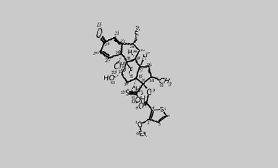 CCOc1ccsc1C(=O)O[C@]1(C(O)=S)C(C)C[C@H]2[C@@H]3C[C@H](F)C4=CC(=O)C=C[C@]4(C)[C@@]3(F)[C@@H](O)C[C@@]21C